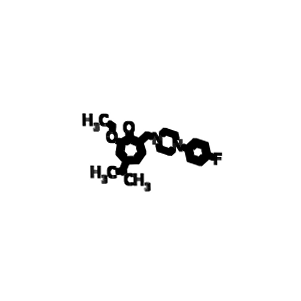 CCOc1cc(C(C)C)ccc(CN2CCN(c3ccc(F)cc3)CC2)c1=O